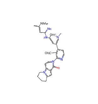 CN/C(C)=C\C(=N)N/C(C)=C/C(=C\N(C)C=O)c1ccnc(-n2ccc3c(cc4n3CCCC4)c2=O)c1C=O